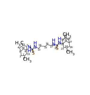 CC1CC2CC(C)CC(NC(=S)NCCCCCNC(=S)NC34CC(C)CC(CC(C)C3)C4)(C1)C2